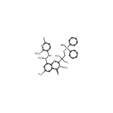 Cc1cc([C@@H](C)Nc2ccc(Cl)nc2C(=O)O)c2nc(C(C)(C)CO[Si](c3ccccc3)(c3ccccc3)C(C)(C)C)n(C)c(=O)c2c1